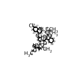 C=C[C@H]1C[C@]1(NC(=O)[C@@H]1C[C@@H](Oc2ccnc3cc(Cl)ccc23)CN1C(=O)[C@@H](NC(=O)OC(C)(C)C)C1CCCCC1)C(=O)OCC